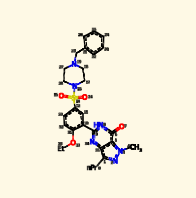 CCCc1nn(C)c2c(=O)[nH]c(-c3cc(S(=O)(=O)N4CCN(Cc5ccccc5)CC4)ccc3OCC)nc12